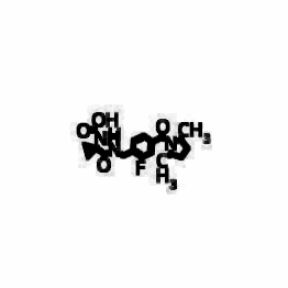 CC1CCC(C)N1C(=O)c1ccc(CNC(=O)C2(NC(=O)O)CC2)c(F)c1